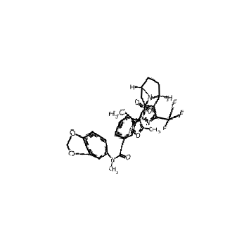 Cc1noc(C)c1S(=O)(=O)N1[C@H]2CC[C@@H]1c1c(C(F)(F)F)nn(-c3cccc(C(=O)N(C)c4ccc5c(c4)OCO5)c3)c1C2